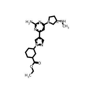 CCOC(=O)C1CCCC(n2cc(-c3cc(N4CC[C@@H](NC)C4)nc(N)n3)cn2)C1